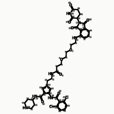 O=C(CCOCCOCCNc1cccc2c1C(=O)N(C1CCC(=O)NC1=O)C2=O)NCCn1cc(NC(=O)c2c(Cl)cccc2Cl)c(C(=O)NC2CCNCC2)n1